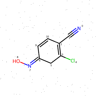 N#CC1=C(Cl)CC(=NO)C=C1